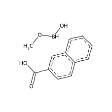 COBO.O=C(O)c1ccc2ccccc2c1